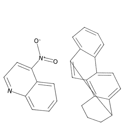 O=[N+]([O-])c1ccnc2ccccc12.c1ccc2c(c1)c1cc3c4c(ccc32)C1CCC4